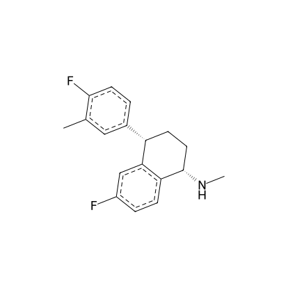 CN[C@H]1CC[C@@H](c2ccc(F)c(C)c2)c2cc(F)ccc21